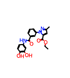 CCOC(=O)c1cc(C)nn1-c1cccc(C(=O)Nc2ccc(O)c(O)c2)c1